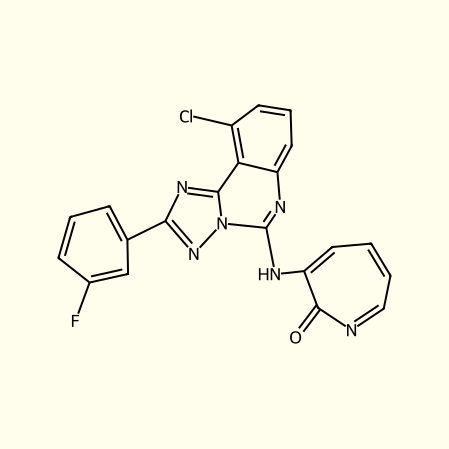 O=c1nccccc1Nc1nc2cccc(Cl)c2c2nc(-c3cccc(F)c3)nn12